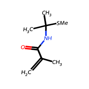 C=C(C)C(=O)NC(C)(C)SC